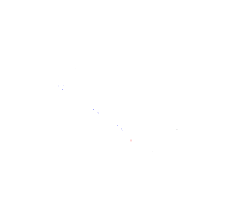 O=C(OC(C(F)(F)F)C(F)(F)F)N1CCN(CC2=CC=C(Cl)CC2N2CCCC2)CC1